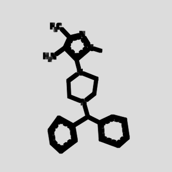 Cn1nc(C(F)(F)F)c(N)c1N1CCN(C(c2ccccc2)c2ccccc2)CC1